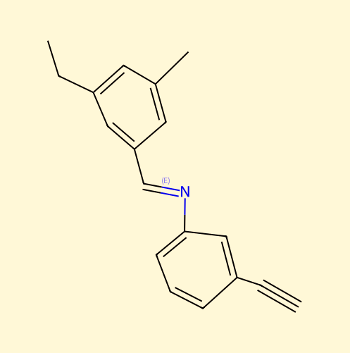 C#Cc1cccc(/N=C/c2cc(C)cc(CC)c2)c1